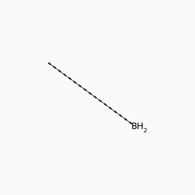 BC#CC#CC#CC#CC#CC#CC#CC#CC#CC#CC#CC#CC#CC#CC#CC#CC#C